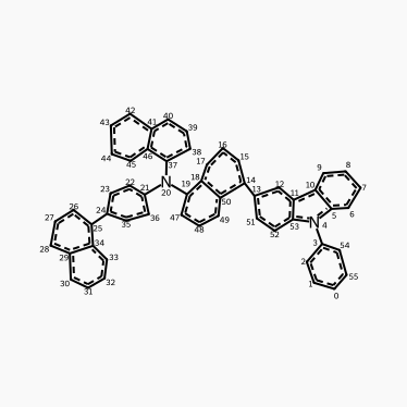 c1ccc(-n2c3ccccc3c3cc(-c4cccc5c(N(c6ccc(-c7cccc8ccccc78)cc6)c6cccc7ccccc67)cccc45)ccc32)cc1